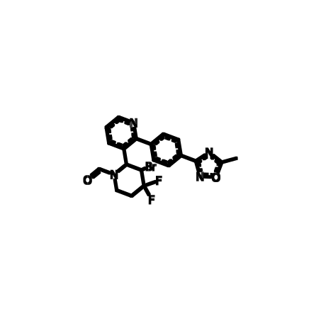 Cc1nc(-c2ccc(-c3ncccc3C3C(Br)C(F)(F)CCN3C=O)cc2)no1